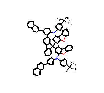 CC(C)(C)c1ccc(N(c2ccc(-c3ccc4ccccc4c3)cc2)c2cc3c(c4c2oc2ccccc24)-c2c(cc(N(c4ccc(-c5ccc6ccccc6c5)cc4)c4ccc(C(C)(C)C)cc4)c4c2oc2ccccc24)C32c3ccccc3-c3ccccc32)cc1